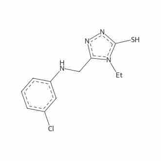 CCn1c(S)nnc1CNc1cccc(Cl)c1